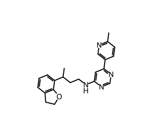 Cc1ccc(-c2cc(NCCC(C)c3cccc4c3OCC4)ncn2)cn1